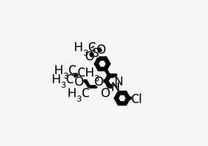 CC(COc1c(-c2ccc(S(C)(=O)=O)cc2)cnn(-c2cccc(Cl)c2)c1=O)COC(C)(C)C